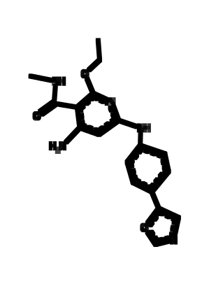 CCOc1nc(Nc2ccc(-c3cnco3)cc2)cc(N)c1C(=O)NC